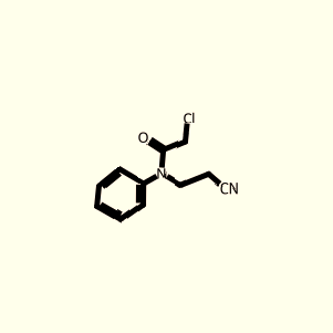 N#CCCN(C(=O)CCl)c1ccccc1